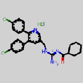 Cl.N/C(=N\C(=O)C1CCCCC1)NCc1cnc(-c2ccc(Cl)cc2)c(-c2ccc(Cl)cc2)c1